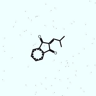 CC(C)C=C1C(=O)c2ccccc2C1=O